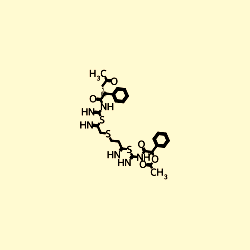 CC(=O)C[C@@H](C(=O)NC(=N)SC(=N)CSCCC(=N)SC(=N)NC(=O)[C@H](OC(C)=O)c1ccccc1)c1ccccc1